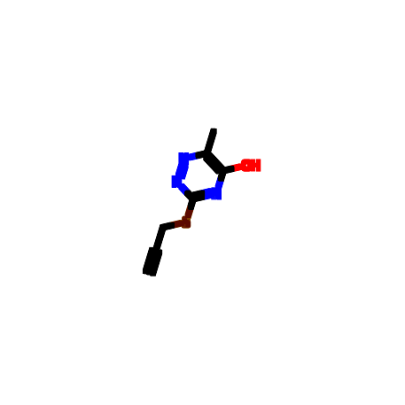 C#CCSc1nnc(C)c(O)n1